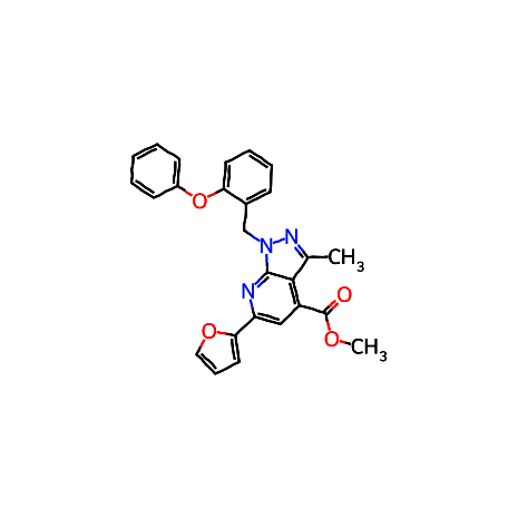 COC(=O)c1cc(-c2ccco2)nc2c1c(C)nn2Cc1ccccc1Oc1ccccc1